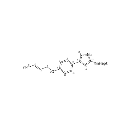 CCC/C=C/COc1ccc(-c2nnc(CCCCCCC)s2)cc1